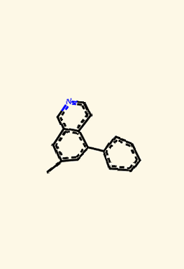 Cc1cc(-c2ccccc2)c2ccncc2c1